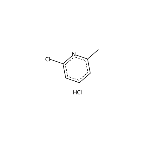 Cc1cccc(Cl)n1.Cl